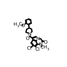 COc1ccccc1C1CCN(C(=O)c2cn3c4c(c(Cl)c(Cl)cc24)N(C)C(=O)C3)CC1